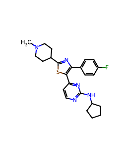 CN1CCC(c2nc(-c3ccc(F)cc3)c(-c3ccnc(NC4CCCC4)n3)s2)CC1